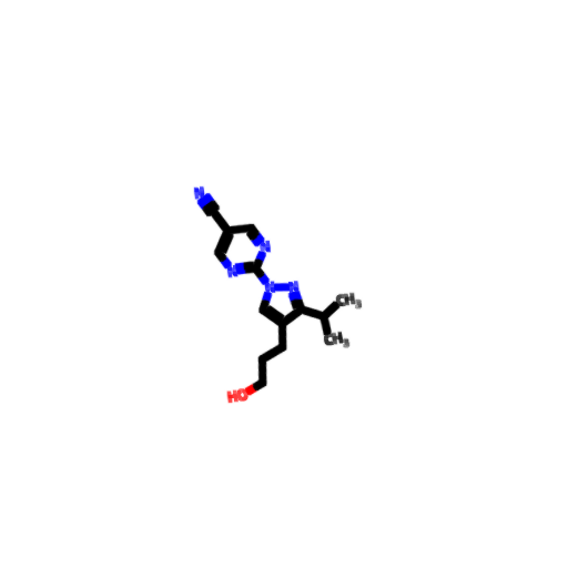 CC(C)c1nn(-c2ncc(C#N)cn2)cc1CCCO